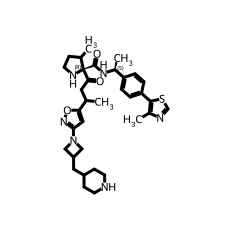 Cc1ncsc1-c1ccc([C@H](C)NC(=O)[C@@]2(C(=O)CC(C)c3cc(N4CC(CC5CCNCC5)C4)no3)NCCC2C)cc1